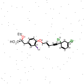 CCO[C@@H](Cc1ccc(OCC=CC#CC2(Br)C=CC=C(Br)C2)c(I)c1)C(=O)O